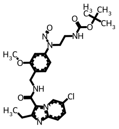 CCc1nc2ccc(Cl)cn2c1C(=O)NCc1ccc(N(CCNC(=O)OC(C)(C)C)N=O)cc1OC